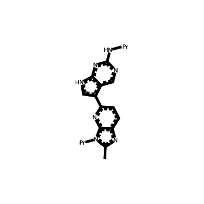 Cc1nc2ccc(-c3c[nH]c4nc(NC(C)C)ncc34)nc2n1C(C)C